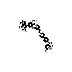 COc1cc(-c2cn(C)c(=O)c3[nH]ncc23)cc(OC)c1CN1CCC(CCN2CCC(c3ccc(NC4CCC(=O)NC4=O)cc3)CC2)CC1